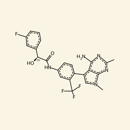 Cc1nc(N)c2c(-c3ccc(NC(=O)[C@@H](O)c4cccc(F)c4)cc3C(F)(F)F)cn(C)c2n1